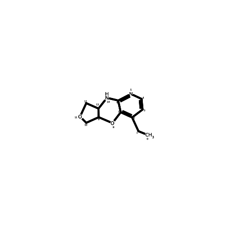 CCc1ccnc2c1OC1COCC1N2